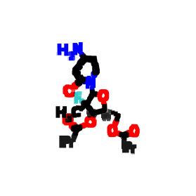 CC(C)C(=O)OC[C@H]1OC(n2ccc(N)cc2=O)[C@@](C)(F)[C@H]1OC(=O)C(C)C